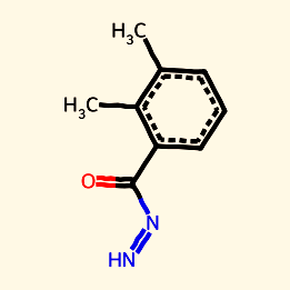 Cc1cccc(C(=O)N=N)c1C